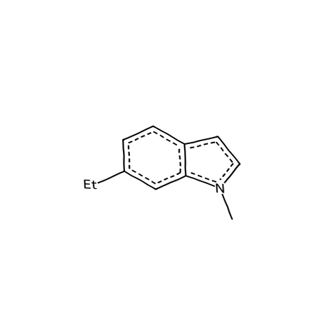 CCc1ccc2ccn(C)c2c1